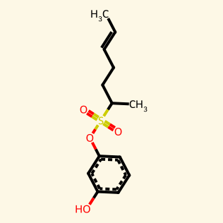 CC=CCCC(C)S(=O)(=O)Oc1cccc(O)c1